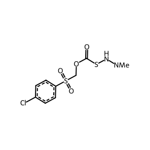 CNNSC(=O)OCS(=O)(=O)c1ccc(Cl)cc1